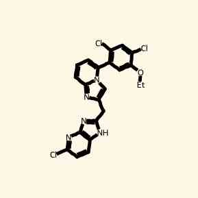 CCOc1cc(-c2cccc3nc(Cc4nc5nc(Cl)ccc5[nH]4)cn23)c(Cl)cc1Cl